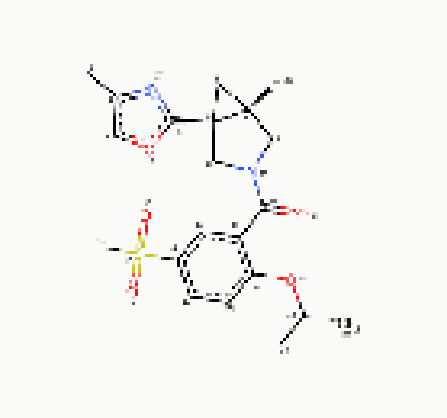 Cc1coc([C@@]23C[C@@H]2CN(C(=O)c2cc(S(C)(=O)=O)ccc2O[C@@H](C)C(F)(F)F)C3)n1